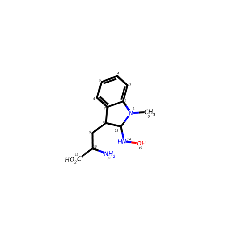 CN1c2ccccc2C(CC(N)C(=O)O)C1NO